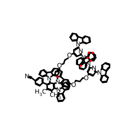 Cc1c(C)c(-n2c3ccccc3c3ccccc32)c(-n2c3ccc(OCCCOc4cc(-n5c6ccccc6c6ccccc65)nc(-n5c6ccccc6c6ccccc65)c4)cc3c3cc(OCCCOc4cc(-n5c6ccccc6c6ccccc65)nc(-n5c6ccccc6c6ccccc65)c4)ccc32)c(-n2c3ccccc3c3ccccc32)c1-c1ccc(C#N)cc1